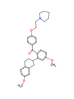 COc1ccc2c(c1)CC(c1cc(OC)ccc1C(=O)c1ccc(OCCN3CCCCC3)cc1)CC2